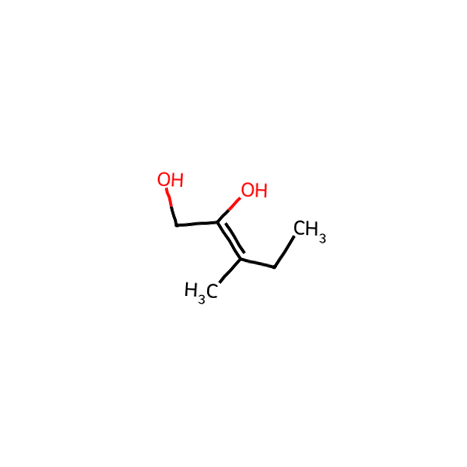 CCC(C)=C(O)CO